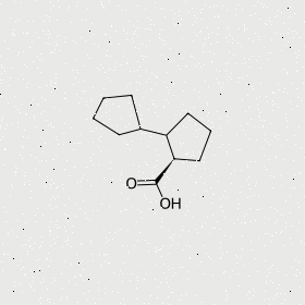 O=C(O)[C@@H]1CCCC1C1CCCC1